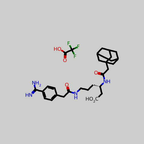 N=C(N)c1ccc(CC(=O)NCCC[C@@H](CC(=O)O)NC(=O)CC23CC4CC(CC(C4)C2)C3)cc1.O=C(O)C(F)(F)F